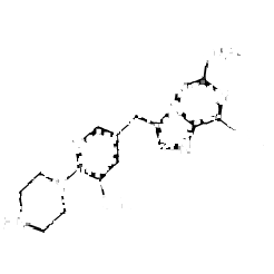 COc1nc(N)c2ncc(Cc3cnc(N4CCNCC4)c(C)c3)n2n1